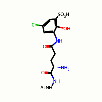 CC(=O)NNC(=O)[C@@H](N)CCC(=O)Nc1cc(Cl)cc(S(=O)(=O)O)c1O